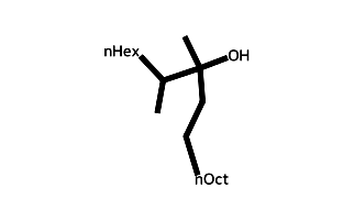 CCCCCCCCCCC(C)(O)C(C)CCCCCC